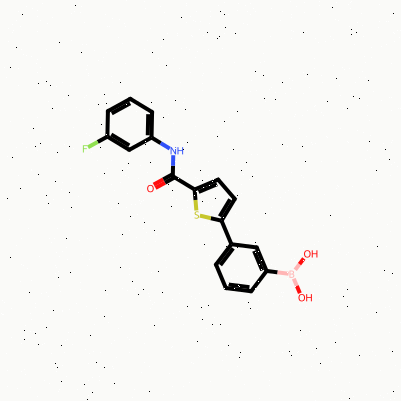 O=C(Nc1cccc(F)c1)c1ccc(-c2cccc(B(O)O)c2)s1